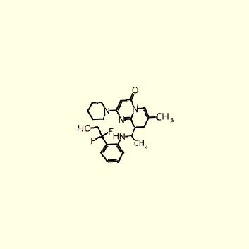 Cc1cc(C(C)Nc2ccccc2C(F)(F)CO)c2nc(N3CCCCC3)cc(=O)n2c1